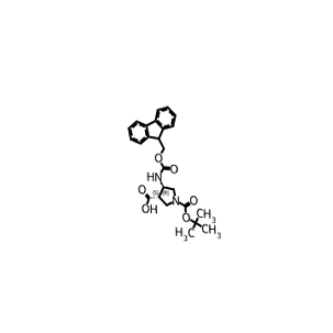 CC(C)(C)OC(=O)N1C[C@H](NC(=O)OCC2c3ccccc3-c3ccccc32)[C@@H](C(=O)O)C1